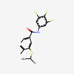 C=C(C)/C(=C\C(=C/C)C(=O)Nc1cc(F)c(F)c(F)c1)SC(CC)CCCC